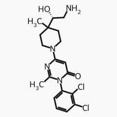 Cc1nc(N2CCC(C)([C@H](O)CN)CC2)cc(=O)n1-c1cccc(Cl)c1Cl